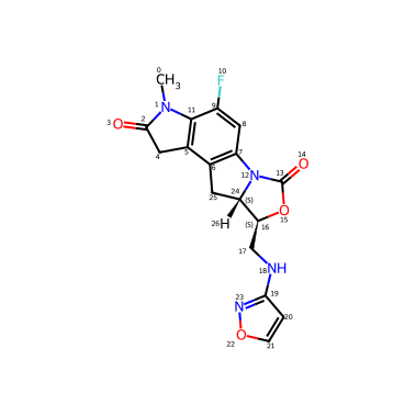 CN1C(=O)Cc2c3c(cc(F)c21)N1C(=O)O[C@@H](CNc2ccon2)[C@@H]1C3